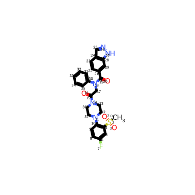 CS(=O)(=O)c1cc(F)ccc1N1CCN(C(=O)CN(C(=O)c2ccc3cn[nH]c3c2)c2ccccc2)CC1